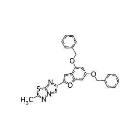 Cc1nn2cc(-c3cc4c(OCc5ccccc5)cc(OCc5ccccc5)cc4o3)nc2s1